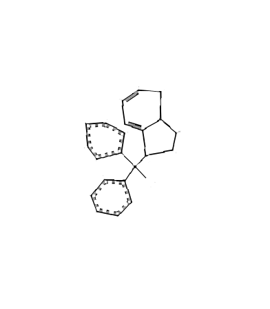 CC(C)(C)C(c1ccccc1)(c1ccccc1)C1CCC2CC=CC=C21